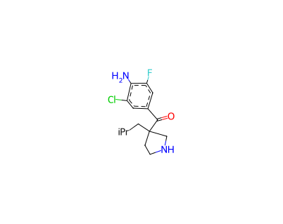 CC(C)CC1(C(=O)c2cc(F)c(N)c(Cl)c2)CCNC1